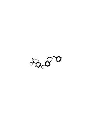 NC(=O)c1ccc(Oc2ccc3c(c2)CCN(Cc2ccccc2)C3)cc1